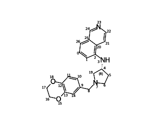 c1cc(N[C@@H]2CCN(Cc3ccc4c(c3)OCCO4)C2)c2ccncc2c1